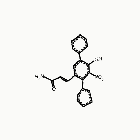 NC(=O)C=Cc1cc(-c2ccccc2)c(O)c([N+](=O)[O-])c1-c1ccccc1